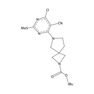 CSc1nc(Cl)c(C#N)c(N2CCC3(CN(C(=O)OC(C)(C)C)C3)C2)n1